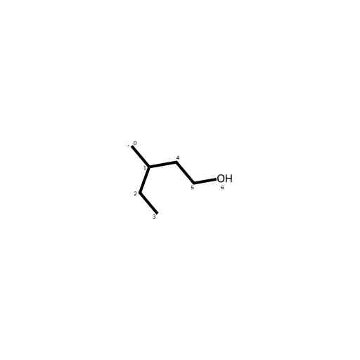 [CH2]C(CC)CCO